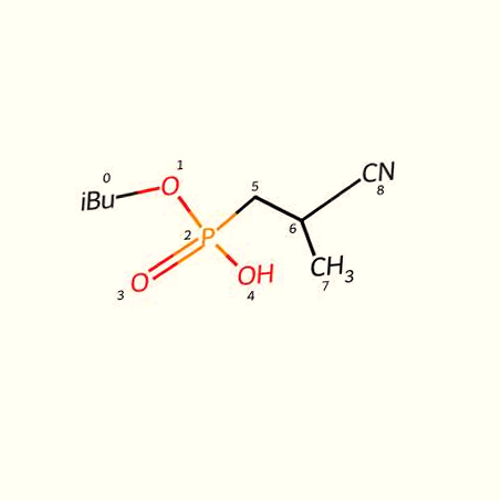 CCC(C)OP(=O)(O)CC(C)C#N